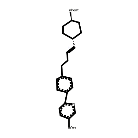 CCCCCCCCc1ccc(-c2ccc(CC/C=C/[C@H]3CC[C@H](CCCCC)CC3)cc2)nc1